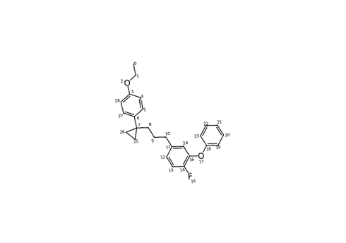 CCOc1ccc(C2(CCCc3ccc(F)c(Oc4ccccc4)c3)CC2)cc1